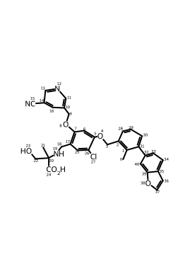 Cc1c(COc2cc(OCc3cncc(C#N)c3)c(CNC(C)(CO)C(=O)O)cc2Cl)cccc1-c1ccc2ccoc2c1